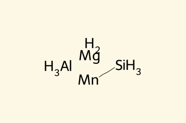 [AlH3].[MgH2].[SiH3][Mn]